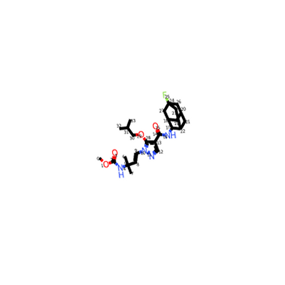 COC(=O)NC(C)(C)/C=C/n1ncc(C(=O)NC2C3CC4CC2CC(F)(C4)C3)c1OCC(C)C